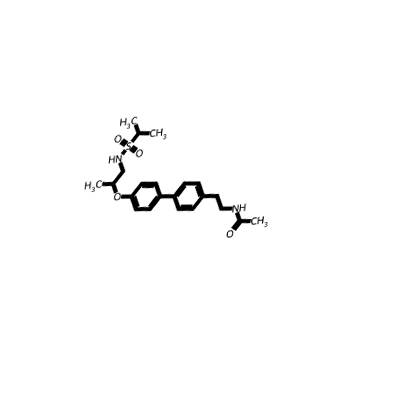 CC(=O)NCCc1ccc(-c2ccc(OC(C)CNS(=O)(=O)C(C)C)cc2)cc1